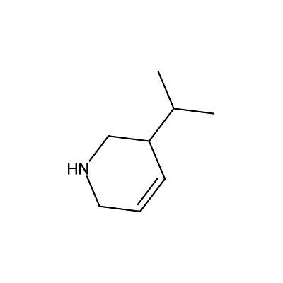 CC(C)C1C=CCNC1